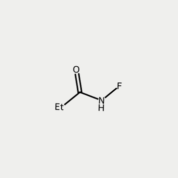 CCC(=O)NF